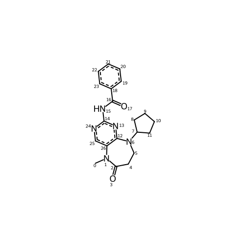 CN1C(=O)CCN(C2CCCC2)c2nc(NC(=O)c3ccccc3)ncc21